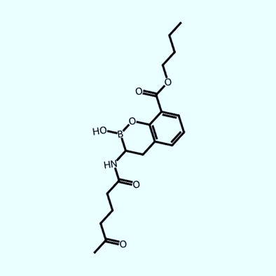 CCCCOC(=O)c1cccc2c1OB(O)C(NC(=O)CCCC(C)=O)C2